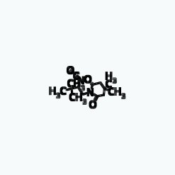 CC1(C)CC(=O)N(CC(N=C=O)C(C)(C)C)C(=O)C1